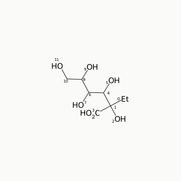 CCC(O)(C(=O)O)C(O)C(O)C(O)CO